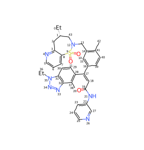 CC[C@H]1Cc2ncccc2S(=O)(=O)N(Cc2cc(/C(=C/C(=O)Nc3cccnc3)c3ccc4c(nnn4CC)c3C)ccc2C)C1